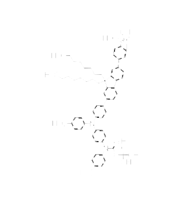 CCCCCCCCC1(CCCCCCCC)c2cc(-c3ccc(N(c4ccc(C)cc4)c4ccc(N(C(=O)OC(C)(C)C)c5ccc(C)cc5)cc4)cc3)ccc2-c2ccc(-c3ccc([Si](C)(C)C)cc3)cc21